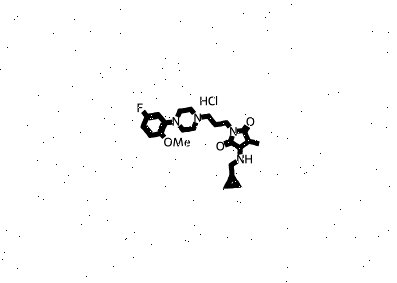 COc1ccc(F)cc1N1CCN(CCCN2C(=O)C(C)C(NCC3CC3)C2=O)CC1.Cl